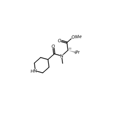 COC(=O)[C@H](C(C)C)N(C)C(=O)C1CCNCC1